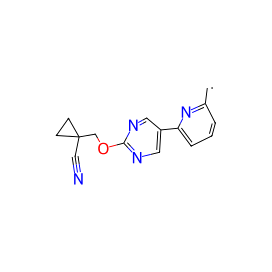 [CH2]c1cccc(-c2cnc(OCC3(C#N)CC3)nc2)n1